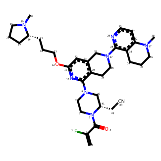 C=C(F)C(=O)N1CCN(c2nc(OCCC[C@@H]3CCCN3C)cc3c2CCN(c2nccc4c2CCCN4C)C3)C[C@@H]1CC#N